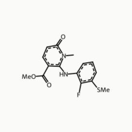 COC(=O)c1ccc(=O)n(C)c1Nc1cccc(SC)c1F